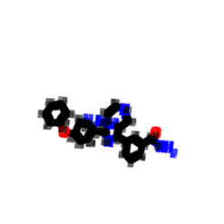 NC(=O)c1cccc(C2=C3C=NC=C[N+]3(N)C(c3ccc(Oc4ccccc4)cc3)=N2)c1